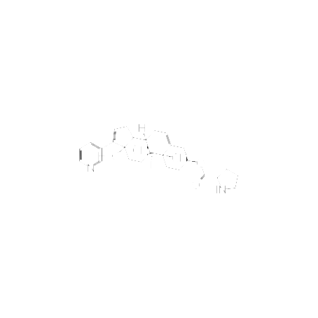 C[C@]12CC[C@H](OC(=O)[C@@H]3CCCN3)CC1=CC[C@@H]1[C@@H]2CC[C@]2(C)C(c3cccnc3)=CC[C@@]12C